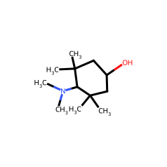 CN(C)C1C(C)(C)CC(O)CC1(C)C